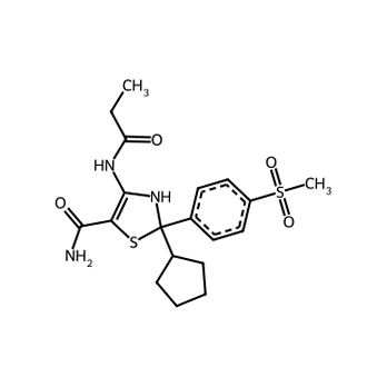 CCC(=O)NC1=C(C(N)=O)SC(c2ccc(S(C)(=O)=O)cc2)(C2CCCC2)N1